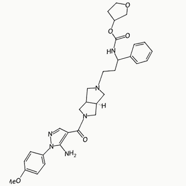 COc1ccc(-n2ncc(C(=O)N3CC4CN(CCC(NC(=O)OC5CCOC5)c5ccccc5)C[C@H]4C3)c2N)cc1